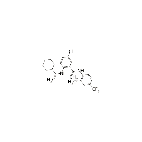 C=C(Nc1ccc(C(F)(F)F)cc1C)c1cc(Cl)ccc1NC(=C)C1CCCCC1